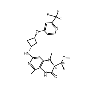 CO[C@@H](C)[C@H]1C(=O)Nc2c(cc(N[C@H]3C[C@H](Oc4ccnc(C(F)(F)F)c4)C3)nc2C)N1C